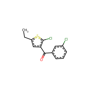 CCc1cc(C(=O)c2cccc(Cl)c2)c(Cl)s1